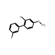 COc1ccc(-c2cccc(F)c2)c(Cl)c1